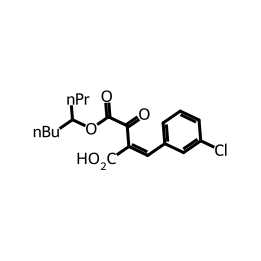 CCCCC(CCC)OC(=O)C(=O)C(=Cc1cccc(Cl)c1)C(=O)O